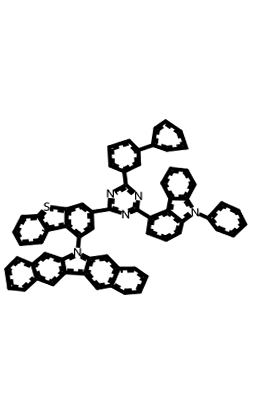 c1ccc(-c2cccc(-c3nc(-c4cc(-n5c6cc7ccccc7cc6c6cc7ccccc7cc65)c5c(c4)sc4ccccc45)nc(-c4cccc5c4c4ccccc4n5-c4ccccc4)n3)c2)cc1